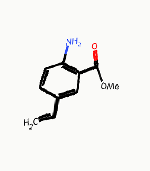 C=Cc1ccc(N)c(C(=O)OC)c1